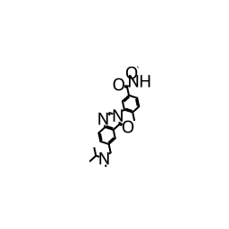 CONC(=O)c1ccc(C)c(-n2cnc3ccc(CN(C)C(C)C)cc3c2=O)c1